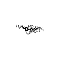 CC[C@](N)(C(=O)O)C(=O)C[C@@H]1C[C@H](c2ccc(C=NN)cc2)N(C)O1